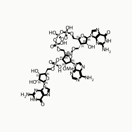 CCCCOC[C@H]1[C@@H](O)[C@H](n2cnc3c(=O)[nH]c(N)nc32)O[C@@H]1COP(=O)(O)OP(=O)(O)OP(=O)(O)OC[C@H]1O[C@@H](n2cnc3c(N)ncnc32)[C@H](OC)[C@@H]1OP(=O)(O)OC[C@H]1O[C@@H](n2cnc3c(=O)[nH]c(N)nc32)[C@H](O)[C@@H]1O